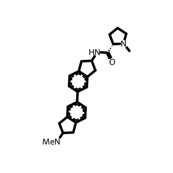 CNC1Cc2ccc(-c3ccc4c(c3)CC(NC(=O)[C@@H]3CCCN3C)C4)cc2C1